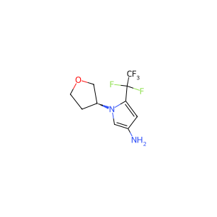 Nc1cc(C(F)(F)C(F)(F)F)n([C@H]2CCOC2)c1